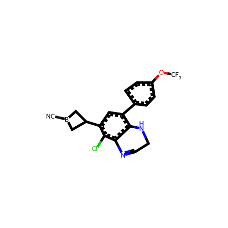 N#CB1CC(c2cc(-c3ccc(OC(F)(F)F)cc3)c3c(c2Cl)N=CCN3)C1